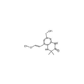 CCO/C=C/c1cc(CO)cc2c1NC(C)(C)C(=O)N2